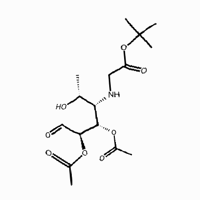 CC(=O)O[C@@H]([C@@H](NCC(=O)OC(C)(C)C)[C@@H](C)O)[C@H](C=O)OC(C)=O